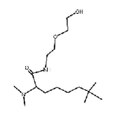 CN(C)C(CCCCC(C)(C)C)C(=O)NCCOCCO